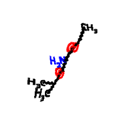 CCCCCCCCCCCOC(=O)CCCCCC(N)CCCCCC(=O)OCCCCC(CCCCCC)CCCCCC